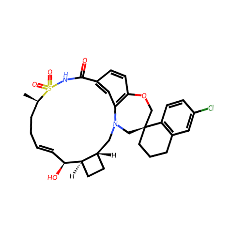 C[C@@H]1CC/C=C/[C@H](O)[C@@H]2CC[C@H]2CN2C[C@@]3(CCCc4cc(Cl)ccc43)COc3ccc(cc32)C(=O)NS1(=O)=O